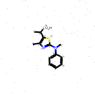 Cc1nc(N(C)c2ccccc2)sc1C(C)C(=O)O